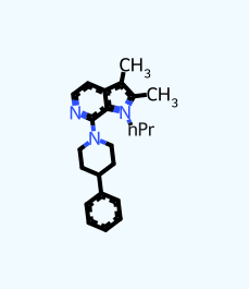 CCCn1c(C)c(C)c2ccnc(N3CCC(c4ccccc4)CC3)c21